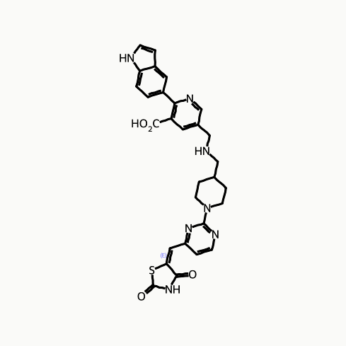 O=C1NC(=O)/C(=C\c2ccnc(N3CCC(CNCc4cnc(-c5ccc6[nH]ccc6c5)c(C(=O)O)c4)CC3)n2)S1